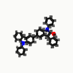 c1ccc(-n2c3ccccc3c3cc(-c4ccc5c(c4)c4c6ccccc6oc4n5-c4ccccc4)ccc32)cc1